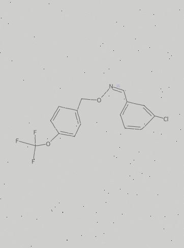 FC(F)(F)Oc1ccc(CO/N=[C]\c2cccc(Cl)c2)cc1